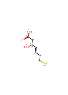 O=C(O)C[C@H](O)/C=C/CCS